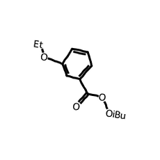 CCOc1cccc(C(=O)OO[CH]C(C)C)c1